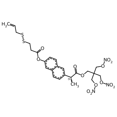 C=CCSSCCC(=O)Oc1ccc2cc([C@H](C)C(=O)OCC(CO[N+](=O)[O-])(CO[N+](=O)[O-])CO[N+](=O)[O-])ccc2c1